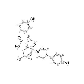 O=C(O)CN([C@]1(C(=O)O)C[C@H]1c1cccc(O)c1)S(=O)(=O)c1ccc(-c2ccc(Cl)cc2)cc1